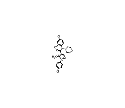 C[C@H]1C(C(=O)N(c2ccc(Cl)cc2Cl)N2CCOCC2)=NN[C@H]1c1ccc(Cl)cc1